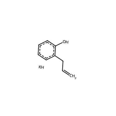 C=CCc1ccccc1O.[KH]